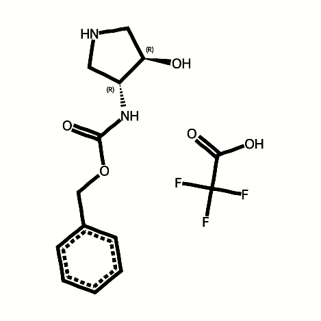 O=C(N[C@@H]1CNC[C@H]1O)OCc1ccccc1.O=C(O)C(F)(F)F